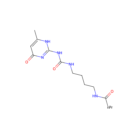 [CH2]CCC(=O)NCCCCNC(=O)Nc1nc(=O)cc(C)[nH]1